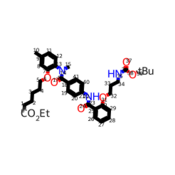 CCOC(=O)CCCCCOc1cc(C)ccc1N(C)C(=O)c1ccc(NC(=O)c2ccccc2OCCCNC(=O)OC(C)(C)C)cc1